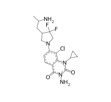 CC(N)CC1CN(c2ccc3c(=O)n(N)c(=O)n(C4CC4)c3c2Cl)CC1(F)F